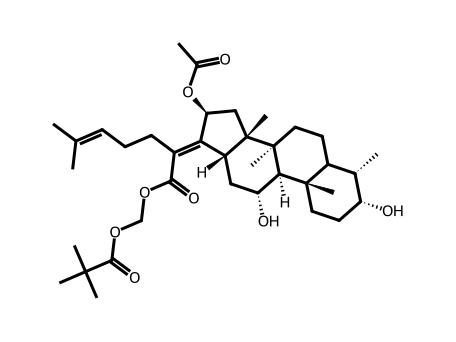 CC(=O)O[C@H]1C[C@@]2(C)[C@H](C[C@@H](O)[C@@H]3[C@@]4(C)CC[C@@H](O)[C@@H](C)C4CC[C@@]32C)C1=C(CCC=C(C)C)C(=O)OCOC(=O)C(C)(C)C